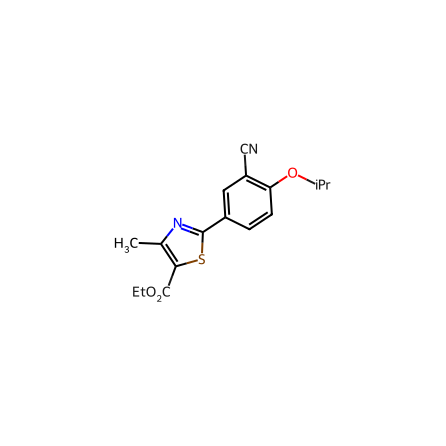 CCOC(=O)c1sc(-c2ccc(OC(C)C)c(C#N)c2)nc1C